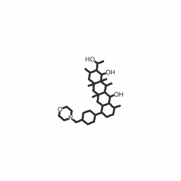 CC(O)C1C(C)CC2(C)CC3(C)CC4C(C5CCC(CN6CCOCC6)CC5)CCC(C)C4C(O)C3C(C)C2(C)C1O